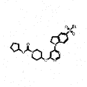 CCS(=O)(=O)c1ccc2c(c1)CCN2c1cc(OC2CCN(C(=O)OC3CCCC3)CC2)ncn1